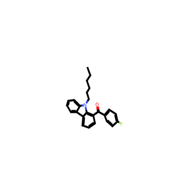 CCCCCCn1c2ccccc2c2cccc(C(=O)c3ccc(F)cc3)c21